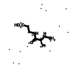 BN[C@H](C(=O)NCCC(=O)O)C(C)C